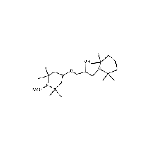 CON1C(C)(C)CC(OCC(O)CN2C(C)(C)CCCC2(C)C)CC1(C)C